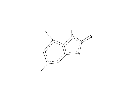 Cc1cc(C)c2[nH]c(=S)sc2c1